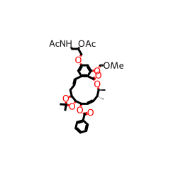 COCOc1cc(OCC(CNC(C)=O)OC(C)=O)cc2c1C(=O)O[C@@H](C)[C@H](C)/C=C\C(OC(=O)c1ccccc1)C1OC(C)(C)OC1C/C=C/2